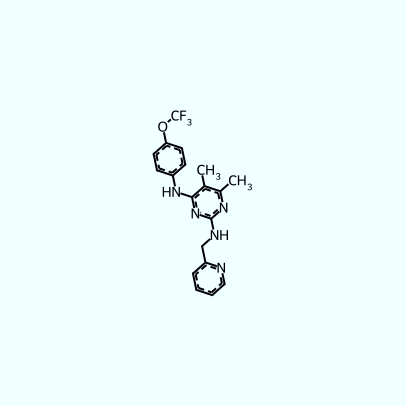 Cc1nc(NCc2ccccn2)nc(Nc2ccc(OC(F)(F)F)cc2)c1C